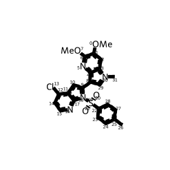 COc1cc2c(nc1OC)c(-c1cc3c(Cl)ccnc3n1S(=O)(=O)c1ccc(C)cc1)cn2C